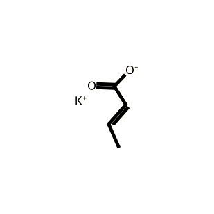 CC=CC(=O)[O-].[K+]